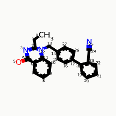 CCc1nc(=O)c2ccccc2n1Cc1ccc(-c2ccccc2C#N)cc1